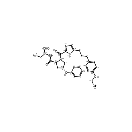 CC(=O)C[C@@H](C=O)NC(=O)[C@@H]1C[C@@H](Oc2ccccc2)CN1C(=O)c1ncc(CCCc2ccc(OCO)cc2)[nH]1